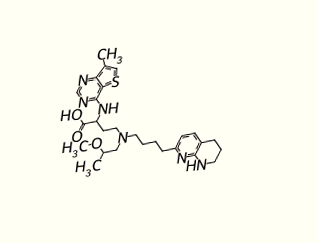 COC(C)CN(CCCCc1ccc2c(n1)NCCC2)CCC(Nc1ncnc2c(C)csc12)C(=O)O